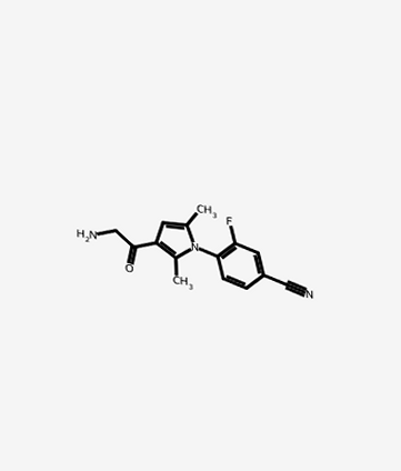 Cc1cc(C(=O)CN)c(C)n1-c1ccc(C#N)cc1F